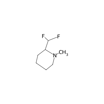 CN1CCCCC1C(F)F